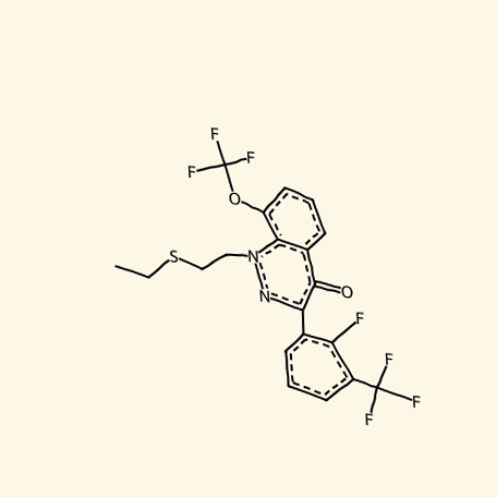 CCSCCn1nc(-c2cccc(C(F)(F)F)c2F)c(=O)c2cccc(OC(F)(F)F)c21